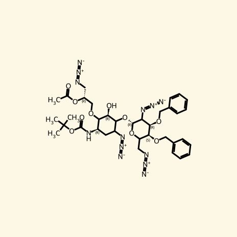 CC(=O)O[C@H](CN=[N+]=[N-])COC1[C@@H](O)C(O[C@H]2OC(CN=[N+]=[N-])[C@H](OCc3ccccc3)[C@H](OCc3ccccc3)C2N=[N+]=[N-])C(N=[N+]=[N-])C[C@H]1NC(=O)OC(C)(C)C